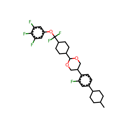 CC1CCC(c2ccc(C3COC(C4CCC(C(F)(F)Oc5cc(F)c(F)c(F)c5)CC4)OC3)c(F)c2)CC1